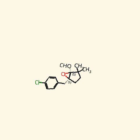 CC1(C)CC[C@@]2(Cc3ccc(Cl)cc3)O[C@@]12C=O